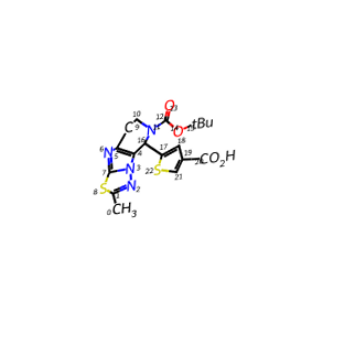 Cc1nn2c3c(nc2s1)CCN(C(=O)OC(C)(C)C)C3c1cc(C(=O)O)cs1